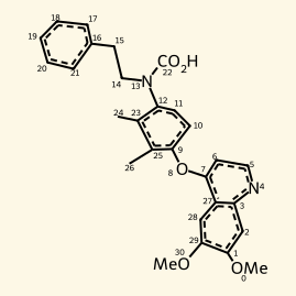 COc1cc2nccc(Oc3ccc(N(CCc4ccccc4)C(=O)O)c(C)c3C)c2cc1OC